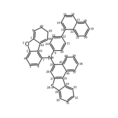 C1=c2oc3cccc(N(c4ccc(-c5cccc6ccccc56)cc4)c4cc5sc6ccccc6c5c5ccccc45)c3c2=CCC1